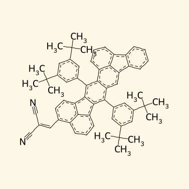 CC(C)(C)c1cc(-c2c3cc4c5ccccc5c5cccc(c3c(-c3cc(C(C)(C)C)cc(C(C)(C)C)c3)c3c6ccc(C=C(C#N)C#N)c7cccc(c23)c76)c54)cc(C(C)(C)C)c1